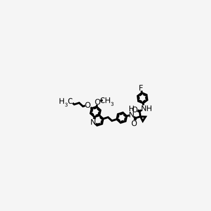 CCCCOc1cc2nccc(CCc3ccc(NC(=O)C4(C(=O)Nc5ccc(F)cc5)CC4)cc3)c2cc1OC